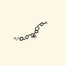 Cc1ccc(CN2CCC(CCCC(=O)c3ccc4c(c3)CCN(Cc3ccc(C#N)cc3)CC4)CC2)cc1.Cl.Cl